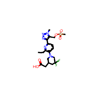 CCc1nc(-c2nnn(C)c2COS(C)(=O)=O)ccc1N1CC(CC(=O)O)CC(F)(F)C1